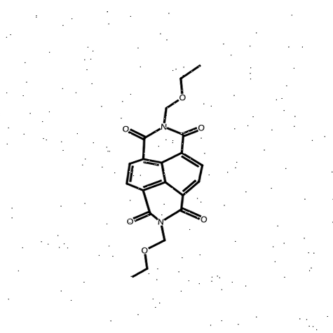 CCOCN1C(=O)c2ccc3c4c(ccc(c24)C1=O)C(=O)N(COCC)C3=O